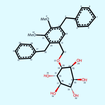 COc1c(Cc2ccccc2)cc(CO[C@@H]2[C@@H](O)[C@H](O)[C@@H](O)[C@H](O)[C@@H]2O)c(Cc2ccccc2)c1OC